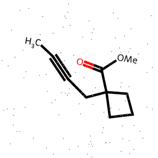 CC#CCC1(C(=O)OC)CCC1